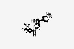 CN(C)C(=O)[C@]1(C)C[C@H](Nc2ncc3c(-c4ccn5ncnc5c4)c[nH]c3n2)C1